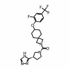 O=C(N1CC[C@@H](c2nnc[nH]2)C1)N1CC2(CCC(Oc3ccc(C(F)(F)F)cc3F)CC2)C1